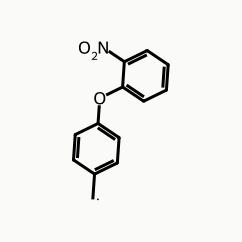 [CH2]c1ccc(Oc2ccccc2[N+](=O)[O-])cc1